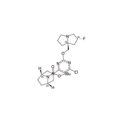 CC(C)(C)OC(=O)N1[C@@H]2CC[C@H]1CN(c1cc(Cl)nc(OC[C@@]34CCCN3C[C@H](F)C4)n1)C2